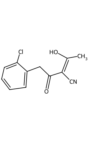 CC(O)=C(C#N)C(=O)Cc1ccccc1Cl